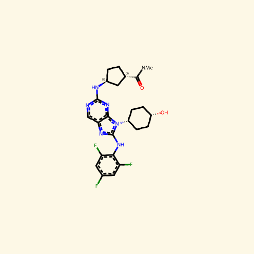 CNC(=O)[C@H]1CC[C@H](Nc2ncc3nc(Nc4c(F)cc(F)cc4F)n([C@H]4CC[C@@H](O)CC4)c3n2)C1